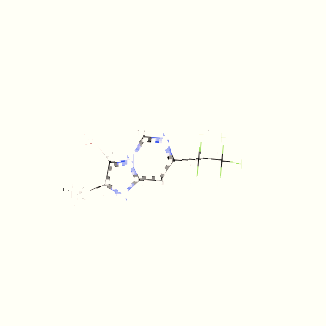 Cc1nc2cc(C(F)(F)C(F)(F)F)ncn2c1Br